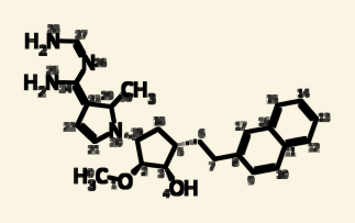 CO[C@@H]1[C@H](O)[C@@H](CCc2ccc3ccccc3c2)C[C@H]1N1C=C/C(=C(N)/N=C\N)C1C